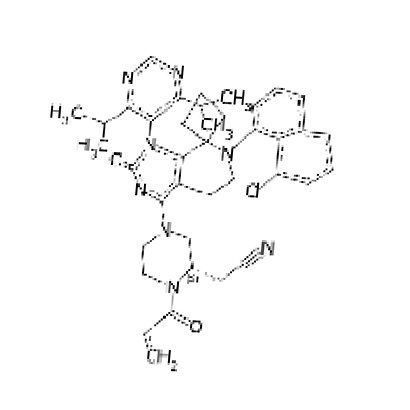 C=CC(=O)N1CCN(c2nc(=O)n(-c3c(C(C)C)ncnc3C(C)C)c3c2CCN(c2cccc4cccc(Cl)c24)C32CCC2)C[C@@H]1CC#N